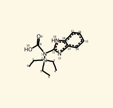 CC[Si](CC)(CC)N(C(=O)O)c1nc2ccccc2[nH]1